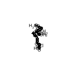 CCc1cccc2cc(OCOC)cc(-c3ccc4c(N5CCC[C@@](C)(O)C5)nc(OCC5(CN6CCN(CC7CCC8(CC7)CCN(C(=O)c7ccc(Cl)c(N9CCC(=O)NC9=O)c7)CC8)CC6)CC5)nc4c3F)c12